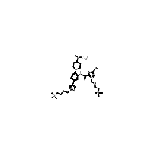 CN(C(=O)O)C1CCN(c2ccc(-c3cnn(COCC[Si](C)(C)C)c3)cc2NC(=O)c2nc(Br)cn2COCC[Si](C)(C)C)CC1